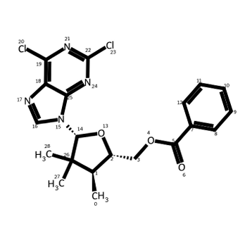 C[C@@H]1[C@@H](COC(=O)c2ccccc2)O[C@@H](n2cnc3c(Cl)nc(Cl)nc32)C1(C)C